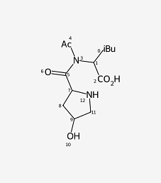 CCC(C)C(C(=O)O)N(C(C)=O)C(=O)C1CC(O)CN1